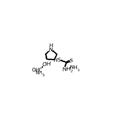 C1CCNC1.N.N.NC(=S)S.O=CO